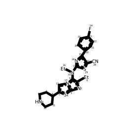 CCc1nc2sc(C3CCNCC3)cn2c1N(CC)c1nc(-c2ccc(F)cc2)c(C#N)s1